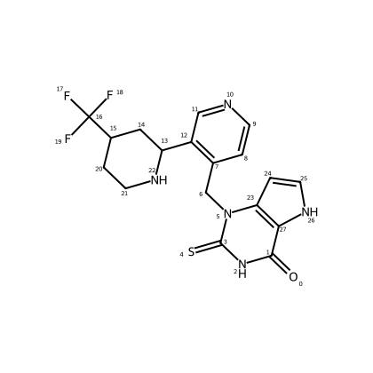 O=c1[nH]c(=S)n(Cc2ccncc2C2CC(C(F)(F)F)CCN2)c2cc[nH]c12